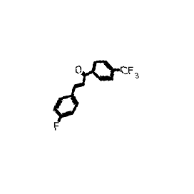 O=C(/C=C/c1ccc(F)cc1)c1ccc(C(F)(F)F)cc1